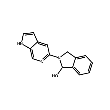 OC1c2ccccc2CN1c1cc2cc[nH]c2cn1